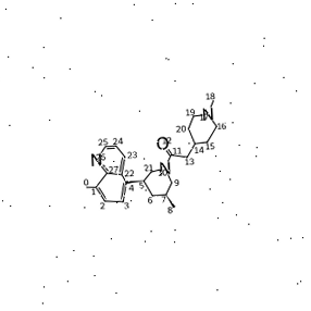 Cc1ccc([C@@H]2C[C@H](C)CN(C(=O)CC3CCN(C)CC3)C2)c2cccnc12